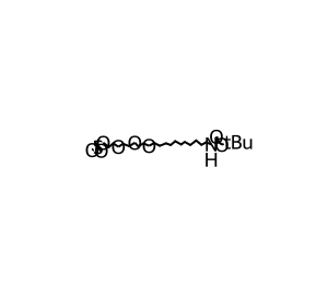 CC(C)(C)OC(=O)NCCCCCCCCCCCOCCOCCOCCOS(C)(=O)=O